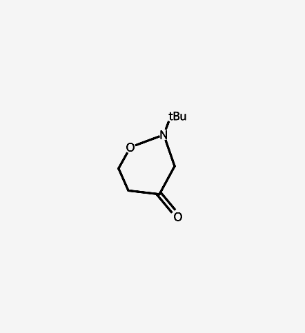 CC(C)(C)N1CC(=O)CCO1